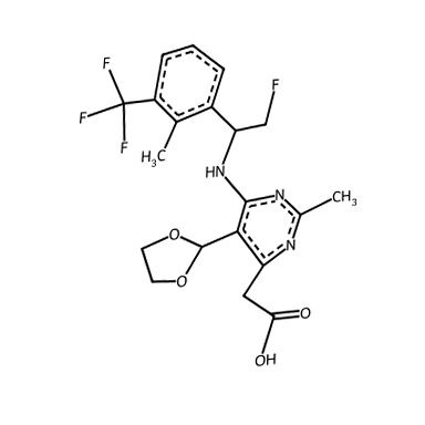 Cc1nc(CC(=O)O)c(C2OCCO2)c(NC(CF)c2cccc(C(F)(F)F)c2C)n1